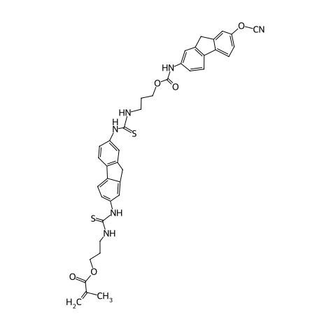 C=C(C)C(=O)OCCCNC(=S)Nc1ccc2c(c1)Cc1cc(NC(=S)NCCCOC(=O)Nc3ccc4c(c3)Cc3cc(OC#N)ccc3-4)ccc1-2